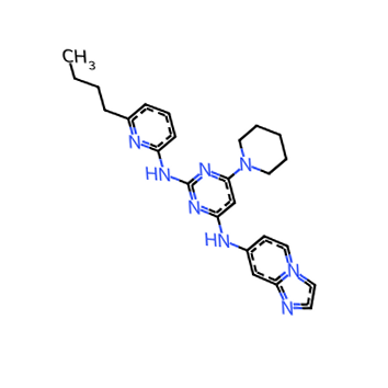 CCCCc1cccc(Nc2nc(Nc3ccn4ccnc4c3)cc(N3CCCCC3)n2)n1